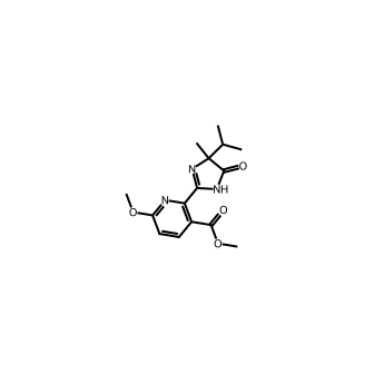 COC(=O)c1ccc(OC)nc1C1=NC(C)(C(C)C)C(=O)N1